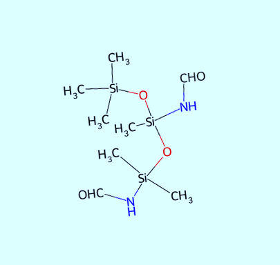 C[Si](C)(C)O[Si](C)(NC=O)O[Si](C)(C)NC=O